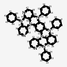 c1ccc(-n2c3cc4c(cc3n3c5cccnc5n(-c5ccccc5)c5cccc2c53)n2c3cnccc3n(-c3ccccc3)c3nccc(c32)n4-c2ccccc2)cc1